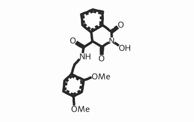 COc1ccc(CNC(=O)C2C(=O)N(O)C(=O)c3ccccc32)c(OC)c1